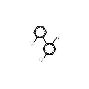 CC(C)c1ccc(C(F)(F)F)cc1-c1ccccc1C(F)(F)F